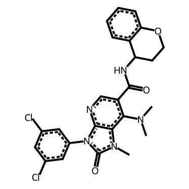 CN(C)c1c(C(=O)NC2CCOc3ccccc32)cnc2c1n(C)c(=O)n2-c1cc(Cl)cc(Cl)c1